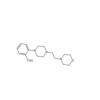 O=Cc1cc[c]cc1N1CCN(CCN2CCOCC2)CC1